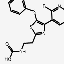 O=C(O)NCCc1nc(-c2cccnc2F)c(Sc2ccccc2)s1